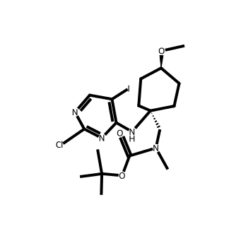 CO[C@H]1CC[C@@](CN(C)C(=O)OC(C)(C)C)(Nc2nc(Cl)ncc2I)CC1